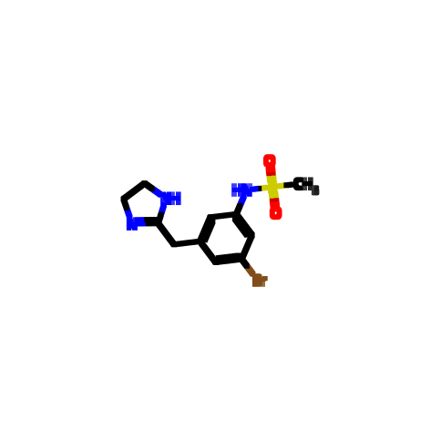 CS(=O)(=O)Nc1cc(Br)cc(CC2=NCCN2)c1